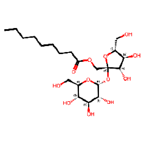 CCCCCCCCC(=O)OC[C@@]1(O[C@H]2O[C@H](CO)[C@@H](O)[C@H](O)[C@H]2O)O[C@H](CO)[C@@H](O)[C@@H]1O